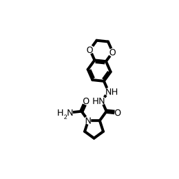 NC(=O)N1CCCC1C(=O)NNc1ccc2c(c1)OCCO2